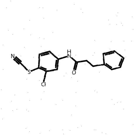 N#CSc1ccc(NC(=O)CCc2ccccc2)cc1Cl